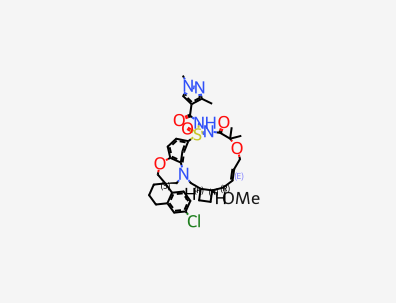 CO[C@H]1/C=C/COC(C)(C)C(=O)N=S(=O)(NC(=O)c2cn(C)nc2C)c2ccc3c(c2)N(C[C@@H]2CC[C@H]21)C[C@@]1(CCCc2cc(Cl)ccc21)CO3